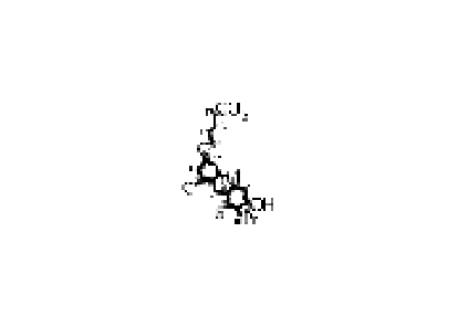 CC(C)c1c(O)ccc(Cc2c(Cl)cc(OCCCCC(=O)O)cc2Cl)c1F